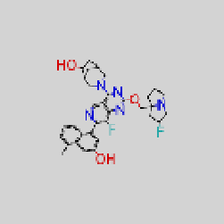 Cc1cccc2c(-c3ncc4c(N5CC6CC(O)C(C6)C5)nc(OC[C@@]56CCCN5C[C@H](F)C6)nc4c3F)cc(O)cc12